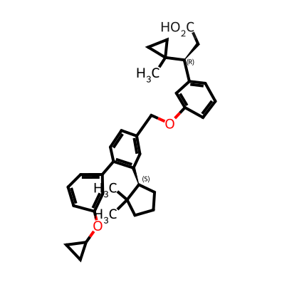 CC1(C)CCC[C@@H]1c1cc(COc2cccc([C@H](CC(=O)O)C3(C)CC3)c2)ccc1-c1cccc(OC2CC2)c1